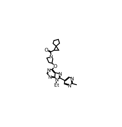 CCn1c(-c2cnc(C)nc2)nc2c(OC3CCN(C(=O)C4CC45CCCC5)C3)ncnc21